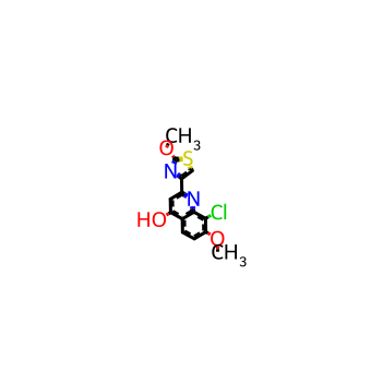 COc1nc(-c2cc(O)c3ccc(OC)c(Cl)c3n2)cs1